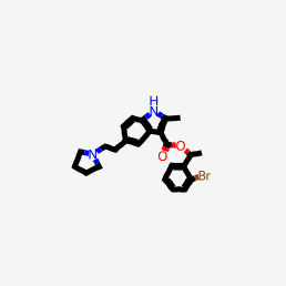 Cc1[nH]c2ccc(CCN3CCCC3)cc2c1C(=O)OC(C)c1ccccc1Br